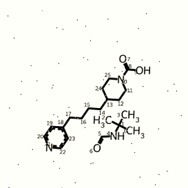 CC(C)(C)NC=O.O=C(O)N1CCC(CCCCc2ccncc2)CC1